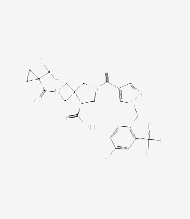 O=C(O)[C@@H]1CN(C(=O)c2cnn(Cc3ccc(F)cc3C(F)(F)F)c2)CC12CN(C(=O)C1(C(F)(F)F)CC1)C2